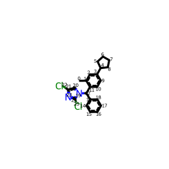 Cc1cc(C2CCCC2)ccc1C(c1ccccc1)n1cc(Cl)nc1Cl